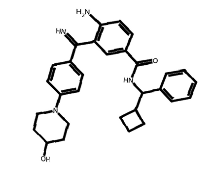 N=C(c1ccc(N2CCC(O)CC2)cc1)c1cc(C(=O)NC(c2ccccc2)C2CCC2)ccc1N